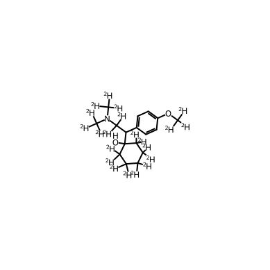 [2H]C([2H])([2H])Oc1ccc(C(C([2H])([2H])N(C([2H])([2H])[2H])C([2H])([2H])[2H])C2(O)C([2H])([2H])C([2H])([2H])C([2H])([2H])C([2H])([2H])C2([2H])[2H])cc1